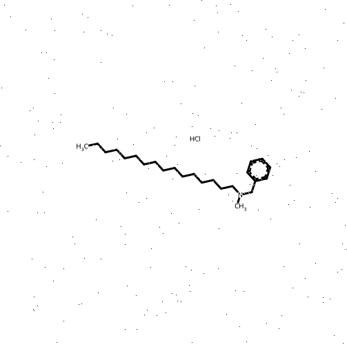 CCCCCCCCCCCCCCCCN(C)Cc1ccccc1.Cl